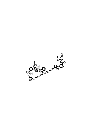 N=C(NC(=N)C1(Nc2cccc(C(=O)NCc3cccc(OCCCCCCOCCOCCOCCC(=O)Nc4cccc5c4CN(C4CCC(=O)NC4=O)C5=O)c3)c2)CCNCC1)c1ccncc1